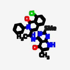 CSc1nc(NC(C)c2cc3cccc(Cl)c3c(=O)n2-c2ccccc2)c2c(=O)c(C)c[nH]c2n1